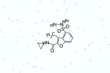 CCCN(CCC)S(=O)(=O)c1cccc2oc(C(=O)NC3CC3)c(C)c12